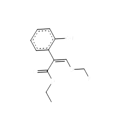 CCOC(=O)/C(=C\OCF)c1ccccc1O